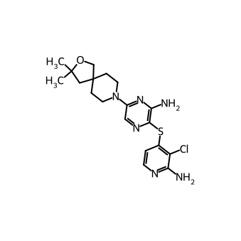 CC1(C)CC2(CCN(c3cnc(Sc4ccnc(N)c4Cl)c(N)n3)CC2)CO1